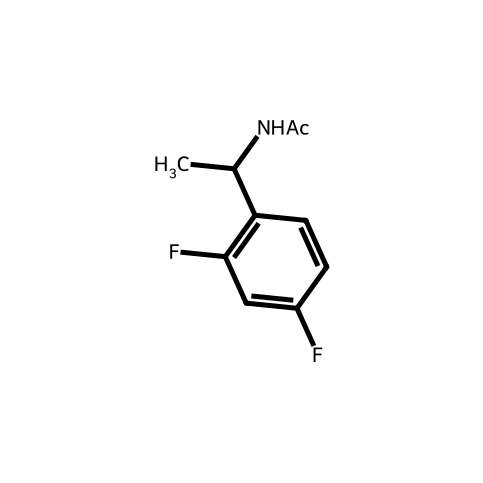 CC(=O)NC(C)c1ccc(F)cc1F